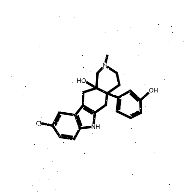 CN1CCC2(c3cccc(O)c3)Cc3[nH]c4ccc(Cl)cc4c3CC2(O)C1